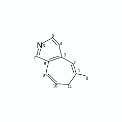 CC1=Cc2ccncc2C=CC1